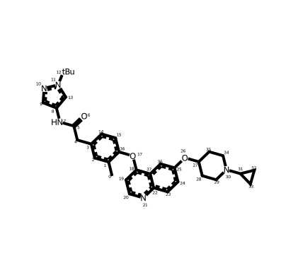 Cc1cc(CC(=O)Nc2cnn(C(C)(C)C)c2)ccc1Oc1ccnc2ccc(OC3CCN(C4CC4)CC3)cc12